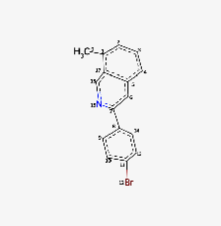 Cc1cccc2cc(-c3ccc(Br)cc3)ncc12